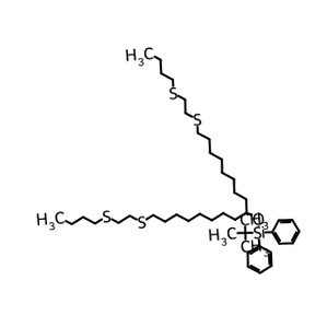 CCCCSCCSCCCCCCCCC(CCCCCCCCSCCSCCCC)O[Si](c1ccccc1)(c1ccccc1)C(C)(C)C